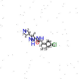 Cc1c(-c2ccncc2)n[nH]c1NC(=O)CC1CCCc2cc(Cl)ccc21